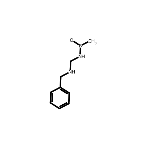 CB(O)NCNCc1ccccc1